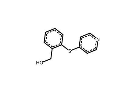 OCc1ccccc1Sc1ccncc1